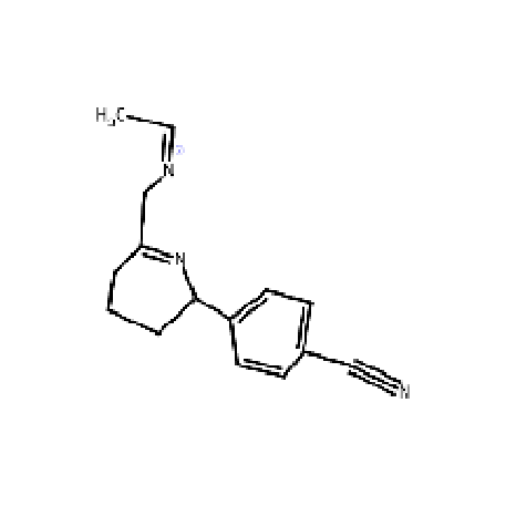 C/C=N\CC1=NC(c2ccc(C#N)cc2)CCC1